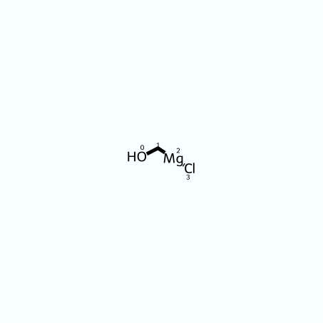 O[CH2][Mg][Cl]